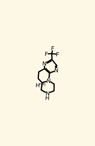 FC(F)(F)c1cnc2c(n1)CC[C@@H]1CNCCN21